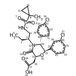 CC[C@@H](CNS(=O)(=O)C1(C)CC1)N1C(=O)[C@H](CC(=O)O)O[C@H](c2cccc(Cl)c2)[C@H]1c1ccc(Cl)cc1